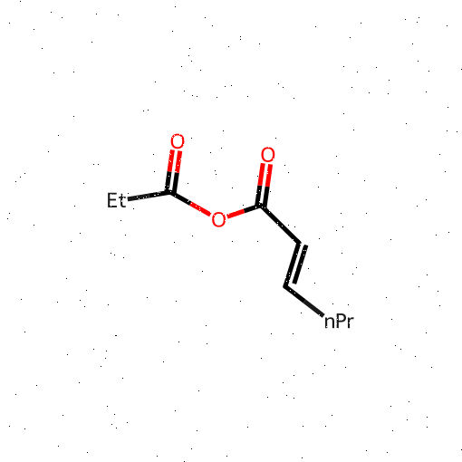 CCCC=CC(=O)OC(=O)CC